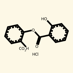 Cl.O=C(Oc1ccccc1C(=O)O)c1ccccc1O